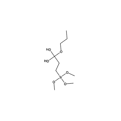 CCCOC(O)(O)CC[Si](OC)(OC)OC